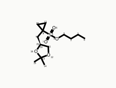 CCCCOS(=O)(=O)C1(C[C@H]2COC(C)(C)O2)CC1